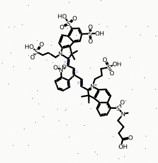 CN(CCCC(=O)O)[S+]([O-])c1cccc2c3c(ccc12)[N+](CCCS(=O)(=O)O)=C(/C=C/C(=C/C=C1/N(CCCS(=O)(=O)O)c2ccc4c(S(=O)(=O)O)cc(S(=O)(=O)O)cc4c2C1(C)C)c1ccccc1[N+](=O)[O-])C3(C)C